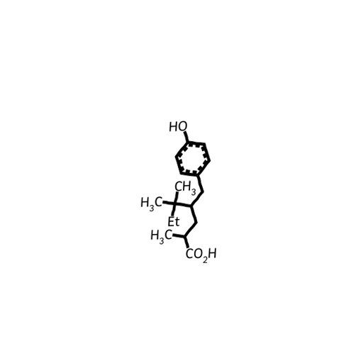 CCC(C)(C)C(Cc1ccc(O)cc1)CC(C)C(=O)O